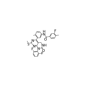 CSc1nc(-c2cc(NC(=O)c3ccc(C)c(F)c3)ccc2C)c2c(n1)N(c1c(F)cccc1F)C(=O)NC2